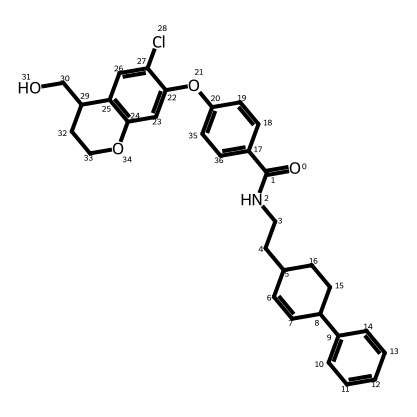 O=C(NCCC1C=CC(c2ccccc2)CC1)c1ccc(Oc2cc3c(cc2Cl)C(CO)CCO3)cc1